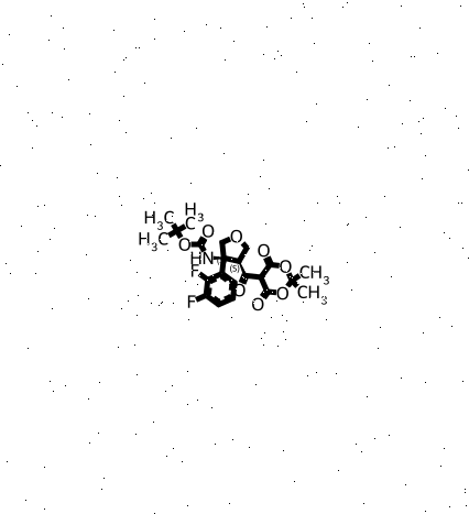 CC(C)(C)OC(=O)N[C@@]1(c2cccc(F)c2F)COC[C@H]1C(=O)C1C(=O)OC(C)(C)OC1=O